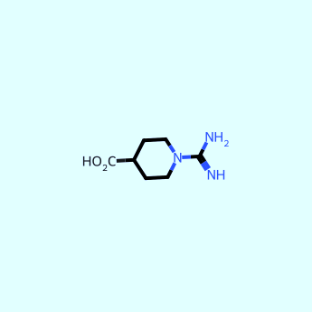 N=C(N)N1CCC(C(=O)O)CC1